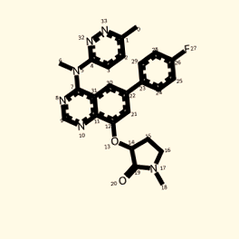 Cc1ccc(N(C)c2ncnc3c(OC4CCN(C)C4=O)cc(-c4ccc(F)cc4)cc23)nn1